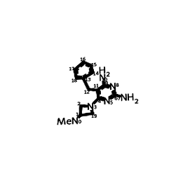 CNC1CN(c2nc(N)nc(N)c2Cc2ccccc2)C1